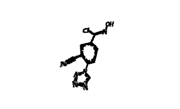 N#Cc1cc(C(Cl)=NO)ccc1-n1cnnn1